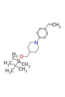 C=Cc1ccc(N2CCC(CO[Si](C)(C)C(C)(C)C)CC2)cc1